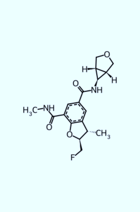 CNC(=O)c1cc(C(=O)N[C@H]2[C@@H]3COC[C@@H]32)cc2c1O[C@H](CF)[C@H]2C